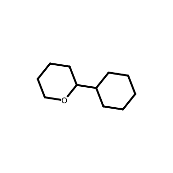 C1CCC(C2CCCCO2)CC1